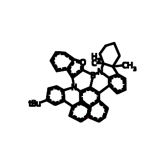 CC(C)(C)c1ccc(N2c3cc4ccccc4c4c3B(c3oc5ccccc5c32)N2c3c-4cccc3C3(C)CCCCC23C)c(-c2ccccc2)c1